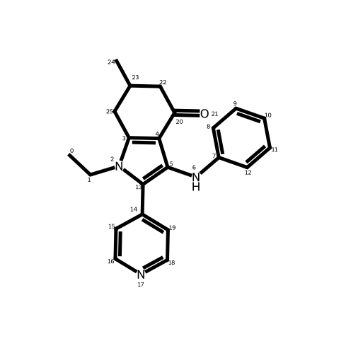 CCn1c2c(c(Nc3ccccc3)c1-c1ccncc1)C(=O)CC(C)C2